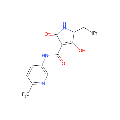 CC(C)CC1NC(=O)C(C(=O)Nc2ccc(C(F)(F)F)nc2)=C1O